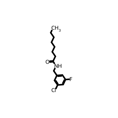 CCCCCCCC(=O)NCc1cc(F)cc(Cl)c1